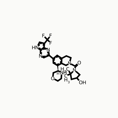 CC1(C)CC(O)CN1C(=O)N1CCc2cc(-c3cnc4[nH]cc(C(F)(F)F)c4n3)cc([C@@H]3COCCN3)c2C1